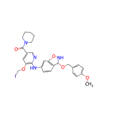 COc1ccc(COC2NOc3cc(Nc4ncc(C(=O)N5CCCCC5)cc4OCI)ccc32)cc1